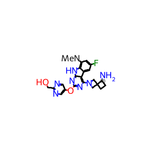 CNc1cc(F)cc2c1[nH]c1nc(Oc3cnc(CO)nc3)nc(N3CC4(CC[C@H]4N)C3)c12